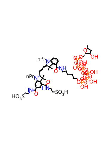 CCCN1/C(=C/C=C/C2=[N+](CCC)c3cc(C(=O)NCCS(=O)(=O)O)cc(C(=O)NCCS(=O)(=O)O)c3C2(C)C)C(C)(C)c2c(C(=O)NCCCCCCOP(=O)(O)OP(=O)(O)OP(=O)(O)OP(=O)(O)OP(=O)(O)OP(=O)(O)OC[C@H]3O[C@@H](C)CC3O)cccc21